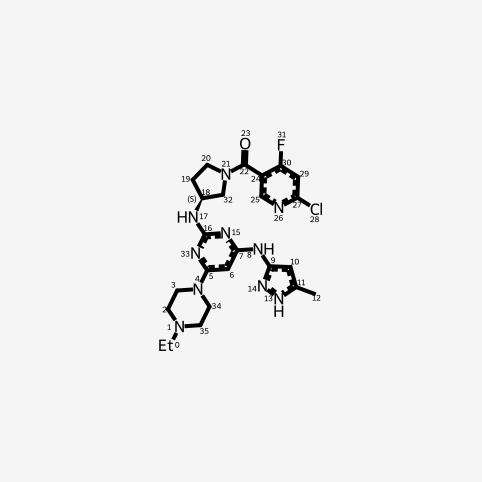 CCN1CCN(c2cc(Nc3cc(C)[nH]n3)nc(N[C@H]3CCN(C(=O)c4cnc(Cl)cc4F)C3)n2)CC1